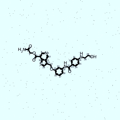 NC(=O)COC(=O)c1cncc2c(COc3cccc(NC(=O)c4ccc(NCCO)cc4)c3)csc12